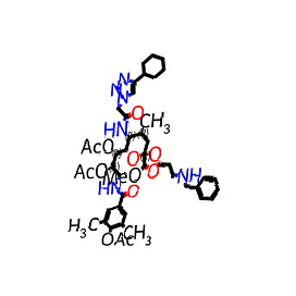 COC(=O)[C@@]1(OCCCNCc2ccccc2)C[C@@H](C)[C@@H](NC(=O)Cn2cc(C3CCCCC3)nn2)C([C@H](OC(C)=O)[C@@H](CNC(=O)c2cc(C)c(OC(C)=O)c(C)c2)OC(C)=O)O1